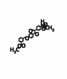 CCOC(=O)c1cccc(COc2ccc3c(=O)c(-c4ccc(NS(C)(=O)=O)cc4)coc3c2)c1